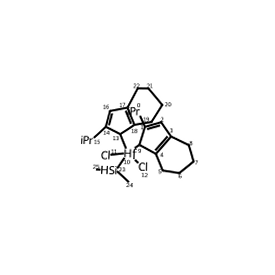 CC(C)C1=CC2=C(CCCC2)[CH]1[Hf]([Cl])([Cl])([CH]1C(C(C)C)=CC2=C1CCCC2)[SiH](C)C